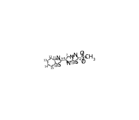 CS(=O)(=O)c1nn2cc(-c3nc4ccccc4s3)nc2s1